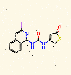 O=C(NC1=CC(=O)SC1)Nc1nc(I)cc2ccccc12